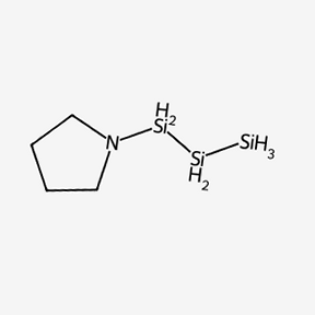 [SiH3][SiH2][SiH2]N1CCCC1